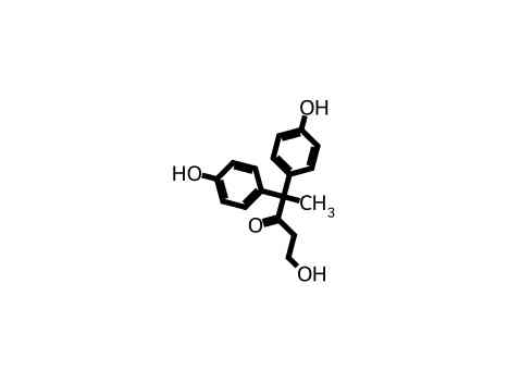 CC(C(=O)CCO)(c1ccc(O)cc1)c1ccc(O)cc1